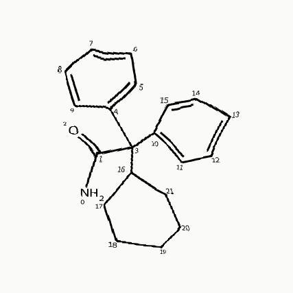 NC(=O)C(c1ccccc1)(c1ccccc1)C1CCCCC1